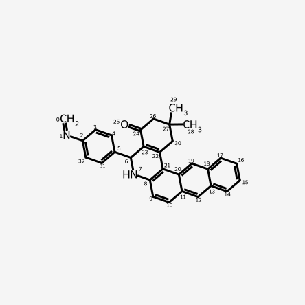 C=Nc1ccc(C2Nc3ccc4cc5ccccc5cc4c3C3=C2C(=O)CC(C)(C)C3)cc1